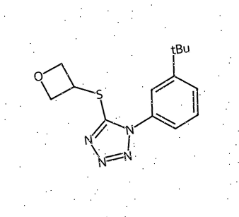 CC(C)(C)c1cccc(-n2nnnc2SC2COC2)c1